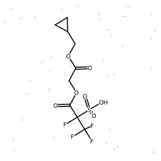 O=C(COC(=O)C(F)(C(F)(F)F)S(=O)(=O)O)OCC1CC1